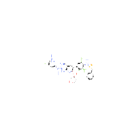 O=S(=O)(Cc1ccccc1)Nc1c(F)cc(-c2cc3cnc(N[C@@H]4CNC[C@@H](F)C4)nc3nc2OC2CCOC2)c(F)c1F